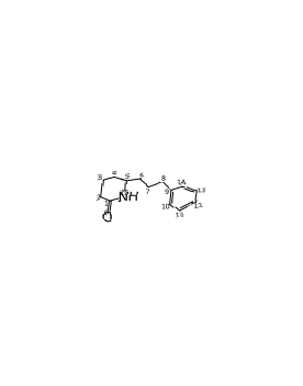 O=C1CCCC(CCCc2ccccc2)N1